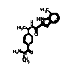 Cc1cccc2cc(C(=O)NC(C)C3CCN(C(=O)[C@H](C)N)CC3)[nH]c12